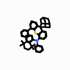 CC1(C)CCC(C)(C)c2c(N(c3ccccc3)c3cccc4c3Sc3c(-c5ccccc5)cccc3C43C4CC5CC6CC3C64C5)cccc21